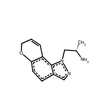 C[C@H](N)Cn1ncc2ccc3c(c21)C=CCO3